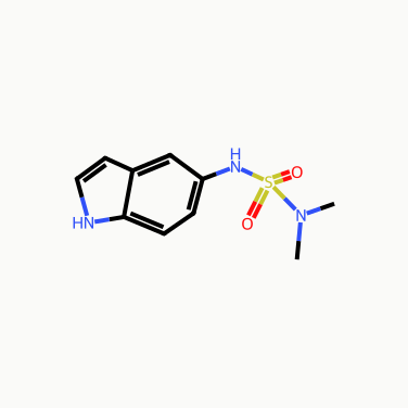 CN(C)S(=O)(=O)Nc1ccc2[nH]ccc2c1